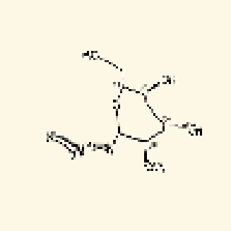 [N-]=[N+]=NC1O[C@H](CO)[C@@H](O)[C@H](O)[C@H]1O